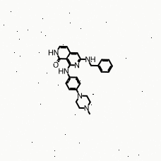 CN1CCN(c2ccc(Nc3nc(NCc4ccccc4)cc4cc[nH]c(=O)c34)cc2)CC1